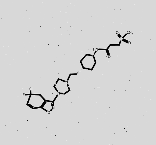 CS(=O)(=O)CCC(=O)N[C@H]1CC[C@H](CCN2CCN(c3noc4c3CC(F)(Cl)C=C4)CC2)CC1